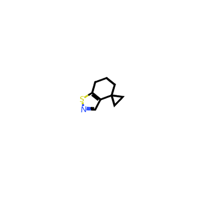 c1nsc2c1C1(CCC2)CC1